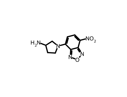 NC1CCN(c2ccc([N+](=O)[O-])c3nonc23)C1